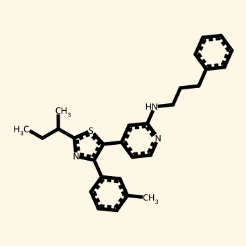 CCC(C)c1nc(-c2cccc(C)c2)c(-c2ccnc(NCCCc3ccccc3)c2)s1